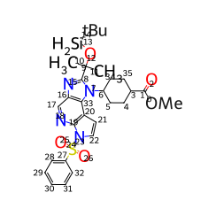 COC(=O)C1CCC(n2c(C(C)(C)O[SiH2]C(C)(C)C)nc3cnc4c(ccn4S(=O)(=O)c4ccccc4)c32)CC1